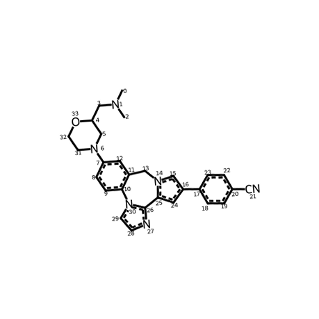 CN(C)CC1CN(c2ccc3c(c2)Cn2cc(-c4ccc(C#N)cc4)cc2-c2nccn2-3)CCO1